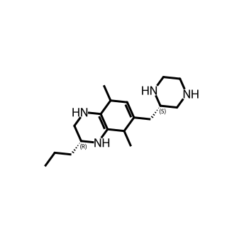 CCC[C@@H]1CNC2=C(N1)C(C)C(C[C@H]1CNCCN1)=CC2C